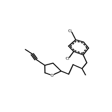 CC#CC1COC(CCC(C)Cc2ccc(Cl)cc2Cl)C1